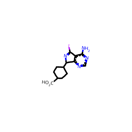 Nc1ncnc2c1C(I)=NC2C1CCC(C(=O)O)CC1